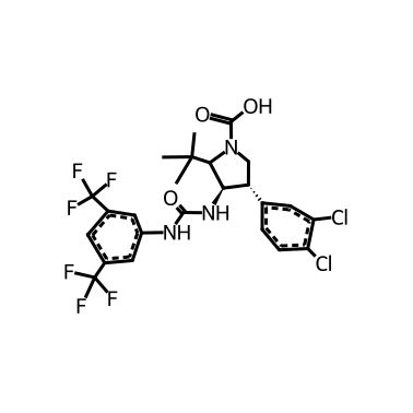 CC(C)(C)C1[C@H](NC(=O)Nc2cc(C(F)(F)F)cc(C(F)(F)F)c2)[C@@H](c2ccc(Cl)c(Cl)c2)CN1C(=O)O